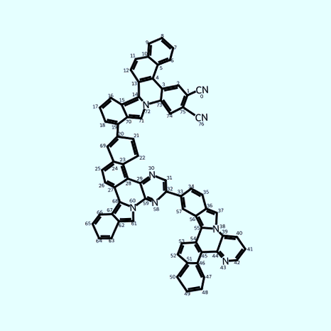 N#Cc1cc2c3c4ccccc4ccc3c3c4cccc(-c5ccc6c(ccc7c6c6ncc(-c8ccc9cn%10c%11cccnc%11c%11c%12ccccc%12ccc%11c%10c9c8)nc6n6cc8ccccc8c76)c5)c4cn3c2cc1C#N